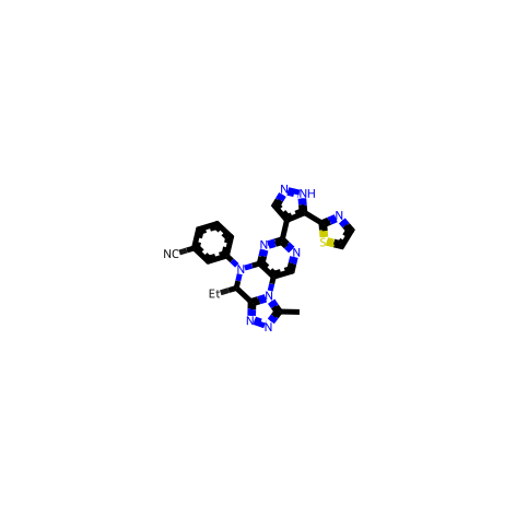 CCC1c2nnc(C)n2-c2cnc(-c3cn[nH]c3-c3nccs3)nc2N1c1cccc(C#N)c1